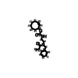 O=C(NCCN(Cc1ccccc1)C(=O)CI)OC1C#CCCCCC1